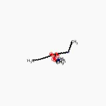 CCCCCCCC/C=C\CCCCCCCC(=O)O[C@H](COC(=O)CCCCCCCCCCCCCCC)COP(=O)([O-])OC(CC)C[N+](C)(C)C